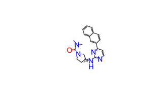 CN(C)C(=O)N1CC[C@H](Nc2nccc(-c3ccc4ccccc4c3)n2)C1